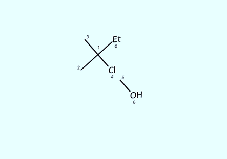 CCC(C)(C)Cl.CO